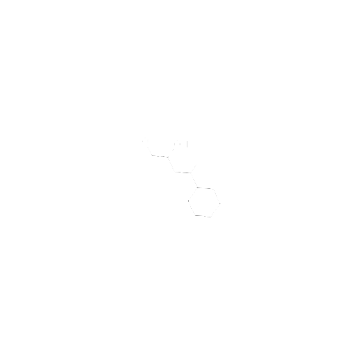 CCC(CC(O)CO)C1CCCCC1